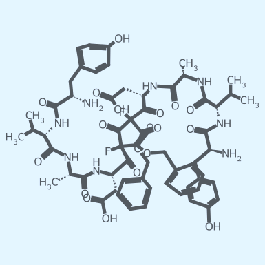 CC(C)[C@H](NC(=O)[C@@H](N)Cc1ccc(O)cc1)C(=O)N[C@@H](C)C(=O)N[C@@H](CC(=O)O)C(=O)C(F)(C(=O)OCc1ccccc1)C(=O)C(F)(C(=O)OCc1ccccc1)C(=O)[C@H](CC(=O)O)NC(=O)[C@H](C)NC(=O)[C@@H](NC(=O)[C@@H](N)Cc1ccc(O)cc1)C(C)C